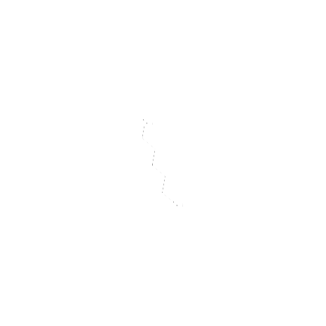 [Na][CH2]CCC[CH2][Na]